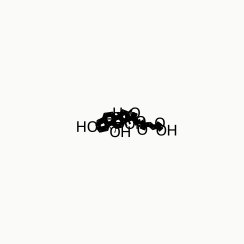 C[C@@H]1C[C@H]2[C@@H]3CCC4=CC(O)C=C[C@]4(C)[C@@]3(F)[C@@H](O)C[C@]2(C)[C@@]1(O)C(=O)COC(=O)CCC(=O)O